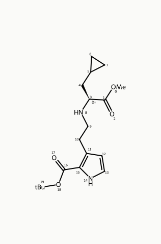 COC(=O)[C@H](CC1CC1)NCCc1cc[nH]c1C(=O)OC(C)(C)C